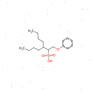 CCCCC(CCCC)C(COc1ccccc1)S(=O)(=O)O